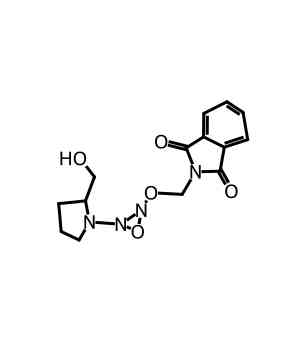 O=C1c2ccccc2C(=O)N1COn1on1N1CCCC1CO